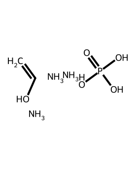 C=CO.N.N.N.O=P(O)(O)O